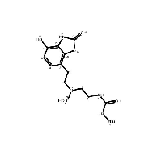 CC(C)(C)OC(=O)NCCN(CCc1ccc(O)c2[nH]c(=O)sc12)C(=O)O